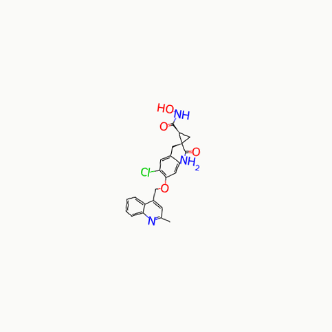 Cc1cc(COc2ccc(C[C@]3(C(N)=O)C[C@@H]3C(=O)NO)cc2Cl)c2ccccc2n1